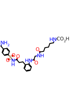 NCc1ccc(S(=O)(=O)NC(=O)CCc2ccccc2NC(=O)CNC(=O)CCCCCNC(=O)O)cc1